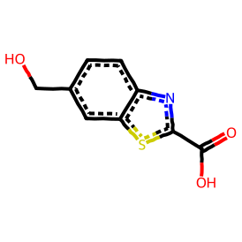 O=C(O)c1nc2ccc(CO)cc2s1